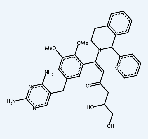 COc1cc(Cc2cnc(N)nc2N)cc(C(=CC(=O)CC(O)CO)N2CCc3ccccc3C2c2ccccn2)c1OC